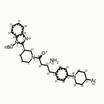 CCCCn1c([C@@H]2CCCN(C(=O)C[C@H](N)Cc3ccc(N4CCC(C(C)=O)CC4)cc3)C2)nc2ccccc21